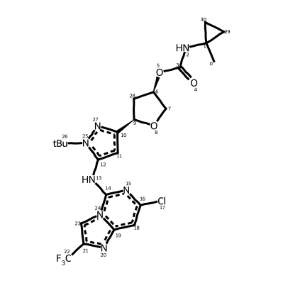 CC1(NC(=O)O[C@H]2CO[C@@H](c3cc(Nc4nc(Cl)cc5nc(C(F)(F)F)cn45)n(C(C)(C)C)n3)C2)CC1